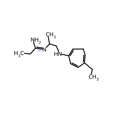 CCC1=CCC=C(NCC(C)/N=C(\N)CC)C=C1